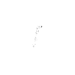 CC(SCCNC(=S)NCCCNC(=S)NCCSC(C)c1ncc[nH]1)c1ncc[nH]1